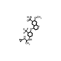 C=C(Nc1ccc(Oc2ccnc3cc(OC)c(C(N)=O)cc23)c(C(F)(F)F)c1)NC1CC1